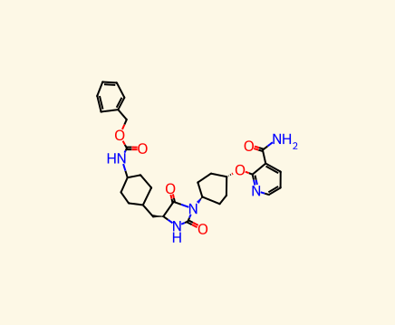 NC(=O)c1cccnc1O[C@H]1CC[C@H](N2C(=O)N[C@@H](CC3CCC(NC(=O)OCc4ccccc4)CC3)C2=O)CC1